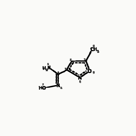 Cc1cc(/C(N)=N/O)no1